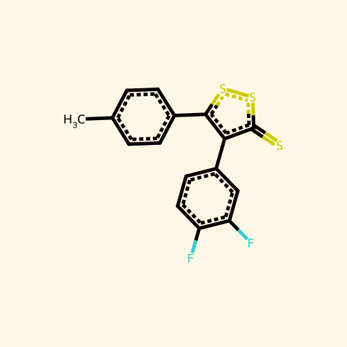 Cc1ccc(-c2ssc(=S)c2-c2ccc(F)c(F)c2)cc1